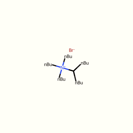 CCCCC(CCCC)[N+](CCCC)(CCCC)CCCC.[Br-]